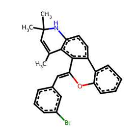 CC1=CC(C)(C)Nc2ccc3c(c21)C(=Cc1cccc(Br)c1)Oc1ccccc1-3